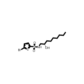 CCCCCCC[C@H](O)CNS(=O)(=O)c1ccc(Br)s1